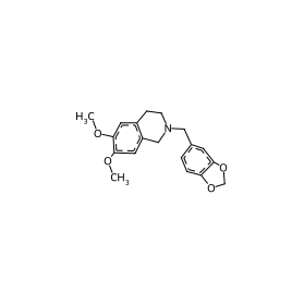 COc1cc2c(cc1OC)CN(Cc1ccc3c(c1)OCO3)CC2